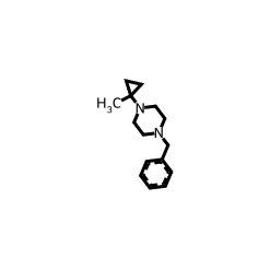 CC1(N2CCN(Cc3ccccc3)CC2)CC1